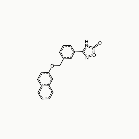 O=c1[nH]c(-c2cccc(COc3ccc4ccccc4c3)c2)no1